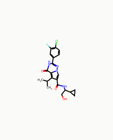 CC(C)c1c(C(=O)NC(CO)C2CC2)cn2nc(-c3ccc(Cl)c(F)c3)[nH]c(=O)c12